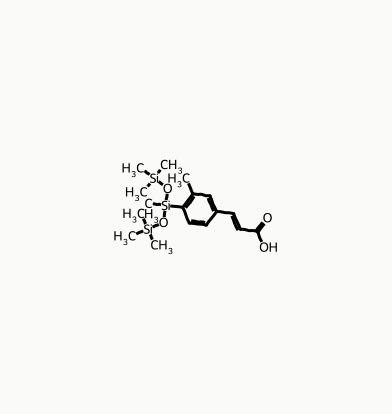 Cc1cc(/C=C/C(=O)O)ccc1[Si](C)(O[Si](C)(C)C)O[Si](C)(C)C